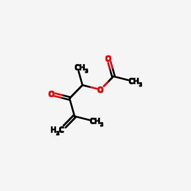 C=C(C)C(=O)C(C)OC(C)=O